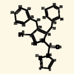 CC(C)c1nn(C(=O)n2cccn2)c(Cc2ccccc2)c1Cc1ccccc1